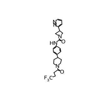 O=C(CCC(F)(F)F)N1CCC(c2ccc(NC(=O)N3CC(c4cccnn4)C3)cc2)CC1